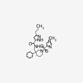 CCCc1cc(C(=O)NCC2(c3ccccc3)CCCN(S(=O)(=O)c3cn(C)cn3)C2)[nH]n1